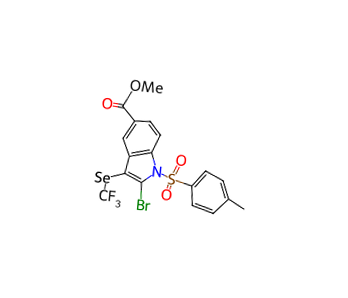 COC(=O)c1ccc2c(c1)c([Se]C(F)(F)F)c(Br)n2S(=O)(=O)c1ccc(C)cc1